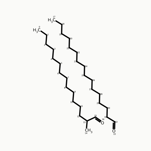 CCCCCCCCCCCCCC(C)C=O.CCCCCCCCCCCCCCCC=O